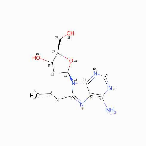 C=CCc1nc2c(N)ncnc2n1[C@H]1CC(O)[C@@H](CO)O1